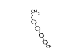 C=CCCC1=CCC(C2CCC(c3ccc(-c4ccc(C(F)(F)F)cc4)cc3)CC2)CC1